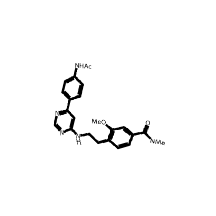 CNC(=O)c1ccc(CCNc2cc(-c3ccc(NC(C)=O)cc3)ncn2)c(OC)c1